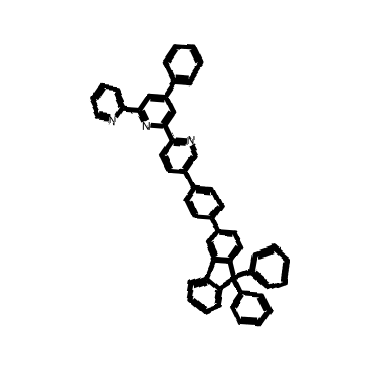 c1ccc(-c2cc(-c3ccccn3)nc(-c3ccc(-c4ccc(-c5ccc6c(c5)-c5ccccc5C6(c5ccccc5)c5ccccc5)cc4)cn3)c2)cc1